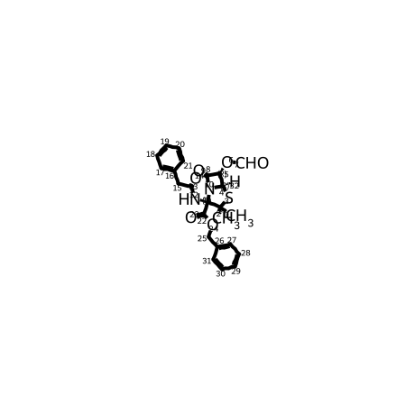 CC1(C)S[C@@H]2[C@H](OC=O)C(=O)N2[C@@]1(NC(=O)Cc1ccccc1)C(=O)OCc1ccccc1